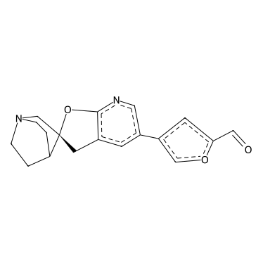 O=Cc1cc(-c2cnc3c(c2)C[C@@]2(CN4CCC2CC4)O3)co1